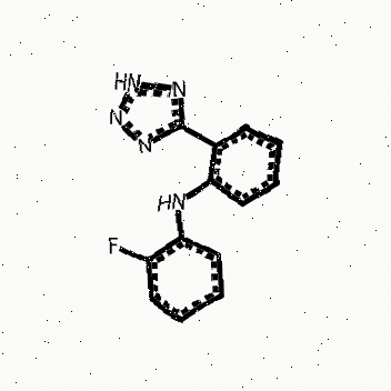 Fc1ccccc1Nc1ccccc1-c1nn[nH]n1